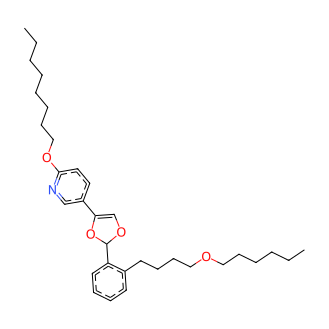 CCCCCCCCOc1ccc(C2=COC(c3ccccc3CCCCOCCCCCC)O2)cn1